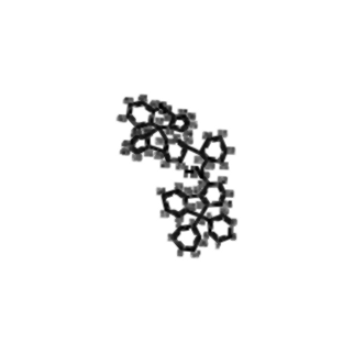 c1ccc(C2(c3ccccc3)c3ccccc3-c3c(Nc4ccccc4-c4ccc5c(c4)C4(c6ccccc6Sc6ccccc64)c4ccccc4-5)cccc32)cc1